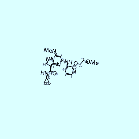 CNc1cc(Nc2cccnc2OCCOC)nc2c(C(=O)NC3CC3)cnn12